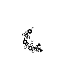 O=C1CCC(N2Cc3cc(CNC(=O)C(F)(F)c4ccc(F)cc4)ccc3C2=O)C(O)N1COP(=O)(OC1CC1)OC1CC1